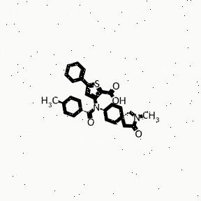 CN1C[C@]2(CC[C@@H](N(c3cc(C4=CCCCC4)sc3C(=O)O)C(=O)[C@H]3CC[C@H](C)CC3)CC2)CC1=O